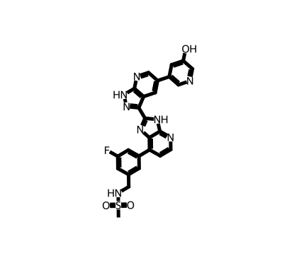 CS(=O)(=O)NCc1cc(F)cc(-c2ccnc3[nH]c(-c4n[nH]c5ncc(-c6cncc(O)c6)cc45)nc23)c1